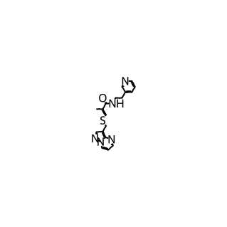 C/C(=C\SCc1cnn2cccnc12)C(=O)NCCc1cccnc1